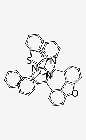 c1ccc(-c2cc(-c3cccc4oc5cccc(-c6nc(-c7ccccc7)c7sc8ccccc8c7n6)c5c34)nc(-c3ccccc3)n2)cc1